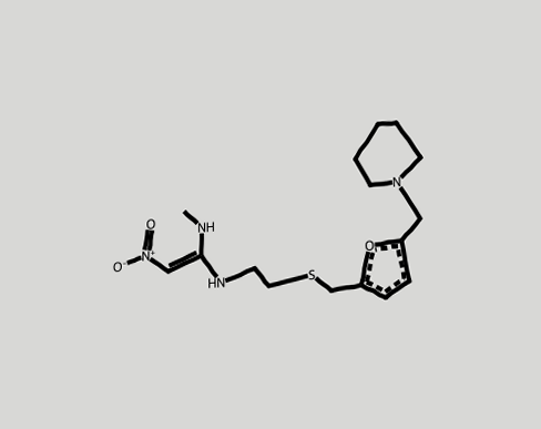 CNC(=C[N+](=O)[O-])NCCSCc1ccc(CN2CCCCC2)o1